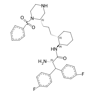 N[C@H](C(=O)N[C@@H]1CCCC[C@H]1CCC[C@H]1CNCCN1S(=O)(=O)c1ccccc1)C(c1ccc(F)cc1)c1ccc(F)cc1